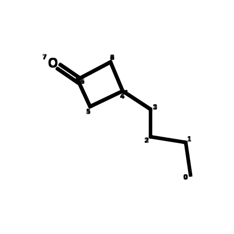 CCCC[C]1CC(=O)C1